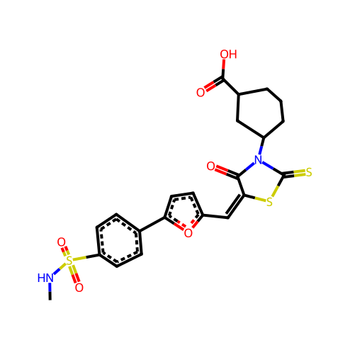 CNS(=O)(=O)c1ccc(-c2ccc(/C=C3/SC(=S)N(C4CCCC(C(=O)O)C4)C3=O)o2)cc1